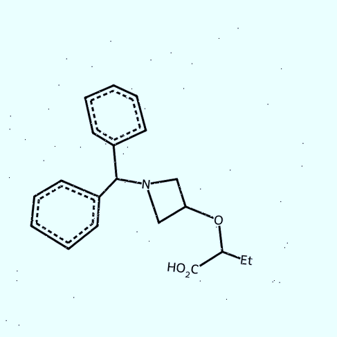 CCC(OC1CN(C(c2ccccc2)c2ccccc2)C1)C(=O)O